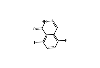 O=c1[nH]ncc2c(F)ccc(F)c12